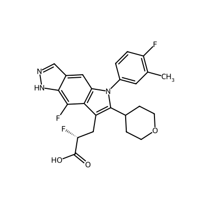 Cc1cc(-n2c(C3CCOCC3)c(C[C@@H](F)C(=O)O)c3c(F)c4[nH]ncc4cc32)ccc1F